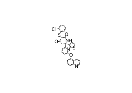 O=C1CC(c2ccsc2)(c2cccc(Oc3cccc4ncccc34)n2)NC(=O)C1Sc1ccccc1Cl